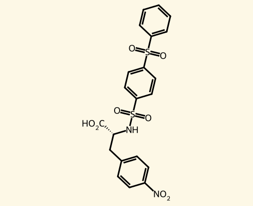 O=C(O)[C@@H](Cc1ccc([N+](=O)[O-])cc1)NS(=O)(=O)c1ccc(S(=O)(=O)c2ccccc2)cc1